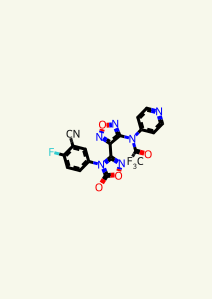 N#Cc1cc(-n2c(-c3nonc3N(C(=O)C(F)(F)F)c3ccncc3)noc2=O)ccc1F